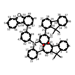 CC1(C)c2ccccc2-c2ccc(-c3ccccc3N(c3cccc(-c4cccc5c4C(C)(C)c4ccccc4-5)c3)c3cccc(-c4cccc5oc6ccccc6c45)c3)cc21